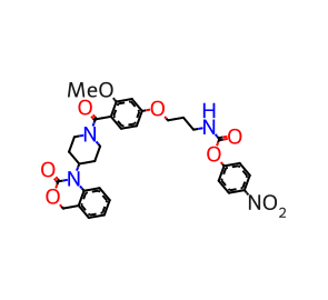 COc1cc(OCCCNC(=O)Oc2ccc([N+](=O)[O-])cc2)ccc1C(=O)N1CCC(N2C(=O)OCc3ccccc32)CC1